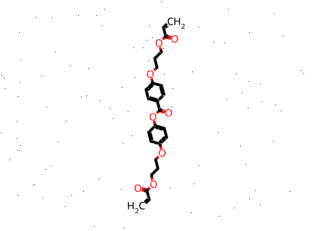 C=CC(=O)OCCCOc1ccc(OC(=O)c2ccc(OCCCOC(=O)C=C)cc2)cc1